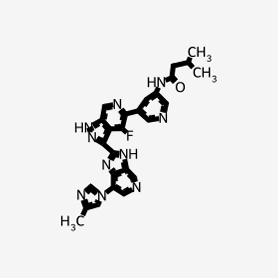 Cc1cn(-c2cncc3[nH]c(-c4n[nH]c5cnc(-c6cncc(NC(=O)CC(C)C)c6)c(F)c45)nc23)cn1